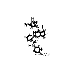 CSc1ccc(NC(=O)[C@H]2CCCN2c2nc3c(c(Nc4cc(C(C)C)[nH]n4)n2)CCC3)cn1